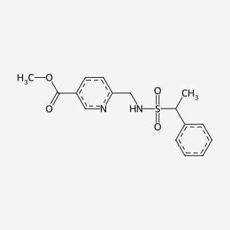 COC(=O)c1ccc(CNS(=O)(=O)C(C)c2ccccc2)nc1